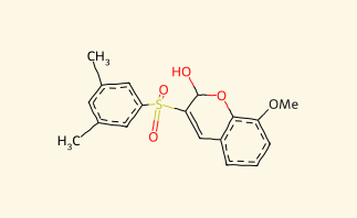 COc1cccc2c1OC(O)C(S(=O)(=O)c1cc(C)cc(C)c1)=C2